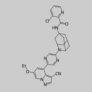 CCOc1cc(-c2cnc(N3C4CC5CC3CC(NC(=O)c3ncccc3Cl)(C5)C4)cn2)c2c(C#N)cnn2c1